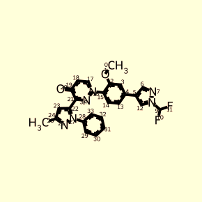 COc1cc(-c2cnn(C(F)F)c2)ccc1-n1ccc(=O)c(-c2cc(C)nn2-c2ccccc2)n1